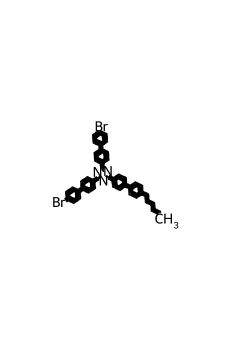 CCCCCCc1ccc(-c2ccc(-c3nc(-c4ccc(-c5ccc(Br)cc5)cc4)nc(-c4ccc(-c5ccc(Br)cc5)cc4)n3)cc2)cc1